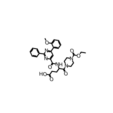 CCOC(=O)N1CCN(C(=O)C(CCC(=O)O)NC(=O)c2cc(-c3ccccc3OC)nc(-c3ccccc3)n2)CC1